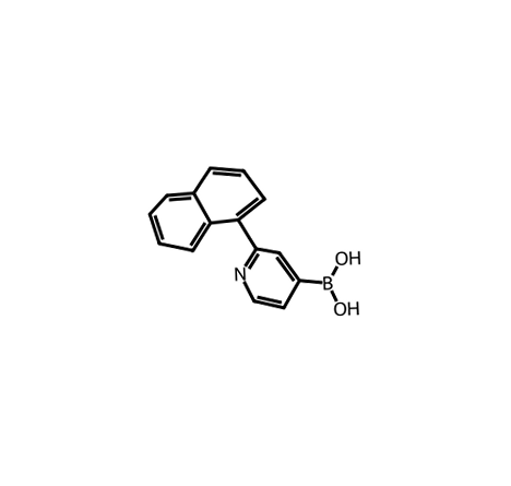 OB(O)c1ccnc(-c2cccc3ccccc23)c1